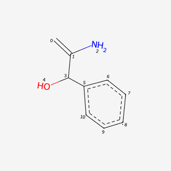 C=C(N)C(O)c1cc[c]cc1